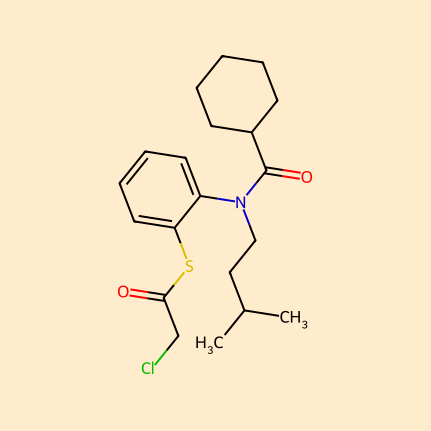 CC(C)CCN(C(=O)C1CCCCC1)c1ccccc1SC(=O)CCl